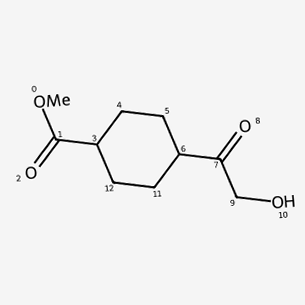 COC(=O)C1CCC(C(=O)CO)CC1